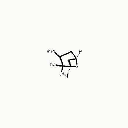 CNC1C[C@@H]2C[C@@H](S2)C1(C)O